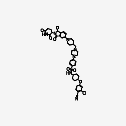 N#Cc1ccc(O[C@H]2CC[C@H](NS(=O)(=O)c3ccc(N4CCN(CC5CCN(c6ccc7c(c6)C(=O)N(C6CCC(=O)NC6=O)C7=O)CC5)CC4)cc3)CC2)cc1Cl